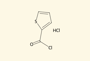 Cl.O=C(Cl)c1cccs1